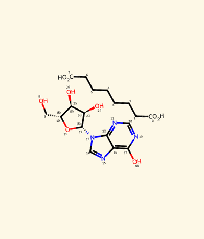 O=C(O)CCCCCCC(=O)O.OC[C@H]1O[C@@H](n2cnc3c(O)ncnc32)[C@H](O)[C@@H]1O